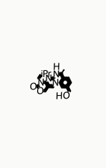 CC(C)CN1C(=O)OCc2cnc(N[C@@H](C)c3ccc(CO)cc3)nc21